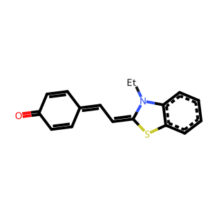 CCN1C(=CC=C2C=CC(=O)C=C2)Sc2ccccc21